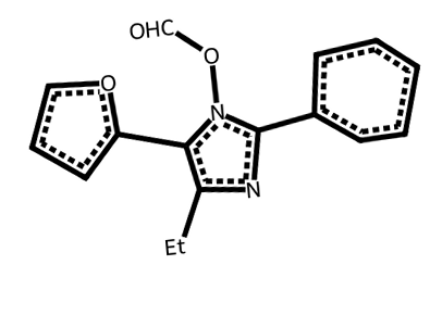 CCc1nc(-c2ccccc2)n(OC=O)c1-c1ccco1